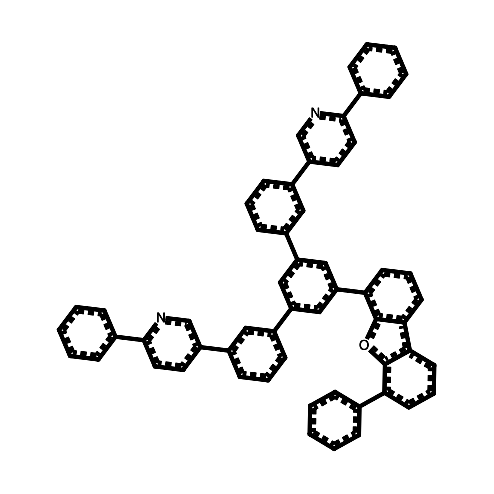 c1ccc(-c2ccc(-c3cccc(-c4cc(-c5cccc(-c6ccc(-c7ccccc7)nc6)c5)cc(-c5cccc6c5oc5c(-c7ccccc7)cccc56)c4)c3)cn2)cc1